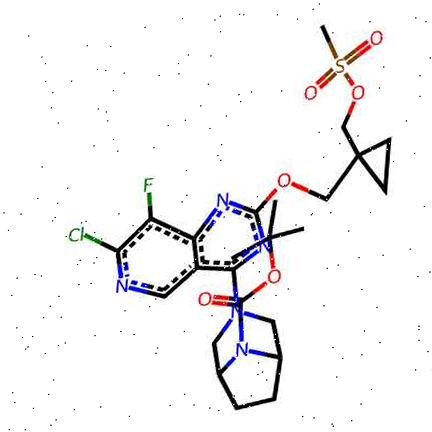 CC(C)(C)OC(=O)N1C2CCC1CN(c1nc(OCC3(COS(C)(=O)=O)CC3)nc3c(F)c(Cl)ncc13)C2